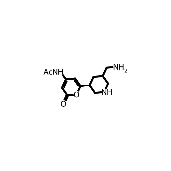 CC(=O)Nc1cc([C@@H]2CNCC(CN)C2)oc(=O)c1